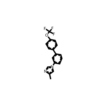 Cc1cn(-c2cccc(-c3ccc(OC(F)(F)F)cc3)c2)cn1